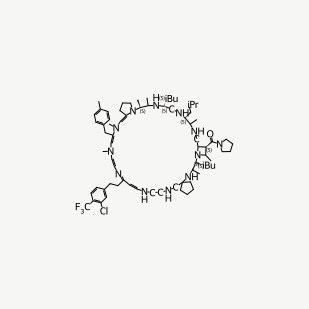 CC[C@H](C)[C@H]1C(C)NC2(CCCC2)CNCCNC=CC(CCc2ccc(C(F)(F)F)c(Cl)c2)=NC=CN(C)C=C(Cc2ccc(C)cc2)N(C)C=C2CCCN2[C@@H](C)C(C)N[C@@H]([C@@H](C)CC)CN[C@@H](CC(C)C)C(C)NCC2[C@@H](C(=O)N3CCCC3)C(C)N21